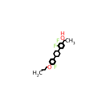 C=CCCOc1ccc(C2CCC(c3ccc(C(C)O)c(F)c3F)CC2)cc1F